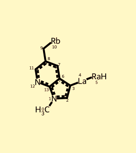 Cn1c[c]([La][RaH])c2cc([CH2][Rb])cnc21